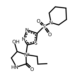 CCC[N+]1(c2nnc(S(=O)(=O)N3CCCCC3)s2)C(=O)NCC1O